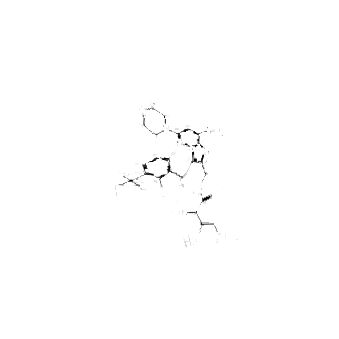 CCC(C)C(N)C(=O)OCc1nc2c(N)cc(N3CCOCC3)nn2c1Cc1cccc(C(F)(F)F)c1C